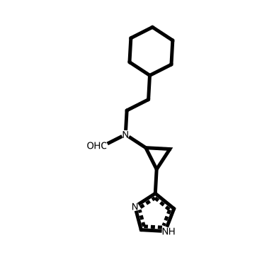 O=CN(CCC1CCCCC1)C1CC1c1c[nH]cn1